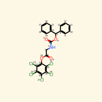 O=C(CNC(=O)OC(c1ccccc1)c1ccccc1)Oc1c(Cl)c(Cl)c(Cl)c(Cl)c1Cl